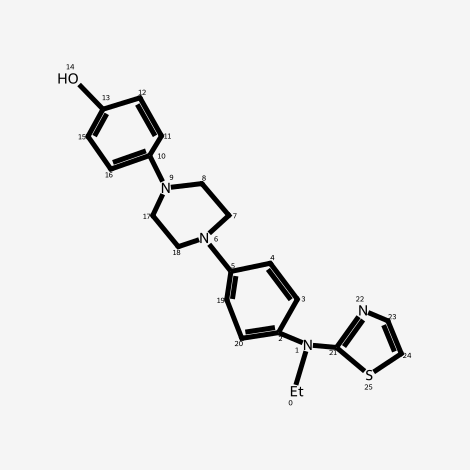 CCN(c1ccc(N2CCN(c3ccc(O)cc3)CC2)cc1)c1nccs1